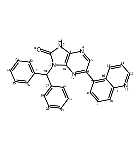 O=c1[nH]c2ncc(-c3cccc4ncccc34)nc2n1C(c1ccccc1)c1ccccc1